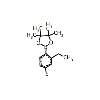 CCc1cc(F)ccc1B1OC(C)(C)C(C)(C)O1